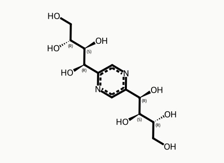 OC[C@@H](O)[C@@H](O)[C@H](O)c1cnc([C@@H](O)[C@H](O)[C@H](O)CO)cn1